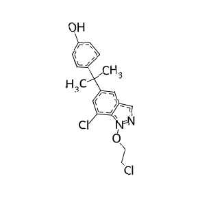 CC(C)(c1ccc(O)cc1)c1cc(Cl)c2c(cnn2OCCCl)c1